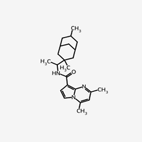 Cc1cc(C)n2ccc(C(=O)NC(C)C3(C)CC4CC(C)CC(C4)C3)c2n1